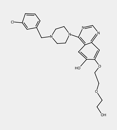 OCCOCCOc1cc2ncnc(N3CCN(Cc4cccc(Cl)c4)CC3)c2cc1O